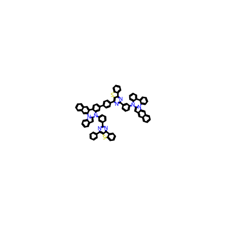 c1ccc(-c2nc(-c3cccc(N4c5cc(-c6ccc(-c7nc(-c8cccc(N9c%10ccccc%10-c%10ccccc%10-n%10c9cc9cc%11ccccc%11cc9%10)c8)nc8c7sc7ccccc78)cc6)ccc5-c5cc6ccccc6cc5-n5c4cc4ccccc45)c3)nc3c2sc2ccccc23)cc1